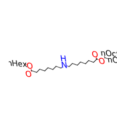 CCCCCCCCC(CCCCCCCC)OC(=O)CCCCCCCNCCCCCCCC(=O)OCCCCCC